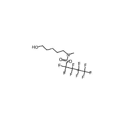 CN(CCCCCO)S(=O)(=O)C(F)(F)C(F)(F)C(F)(F)C(F)(F)F